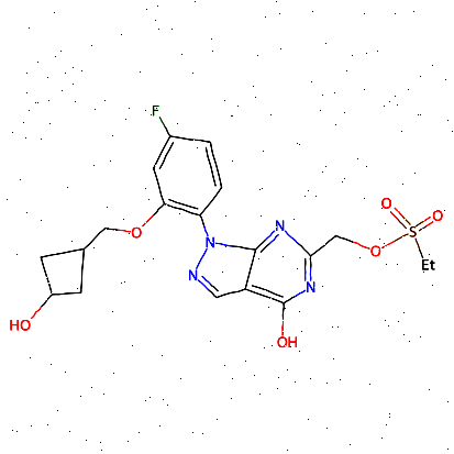 CCS(=O)(=O)OCc1nc(O)c2cnn(-c3ccc(F)cc3OCC3CC(O)C3)c2n1